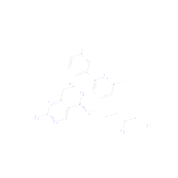 COc1cccc(-c2cc(F)ccc2[C@H]2Cc3nc(N)nc(C)c3/C(=N/OCCC(N)CO)N2)n1